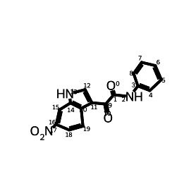 O=C(Nc1ccccc1)C(=O)c1c[nH]c2cc([N+](=O)[O-])ccc12